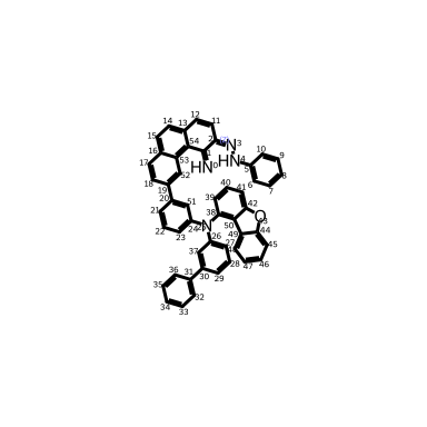 N=C1/C(=N\Nc2ccccc2)C=Cc2ccc3ccc(-c4cccc(N(c5cccc(-c6ccccc6)c5)c5cccc6oc7ccccc7c56)c4)cc3c21